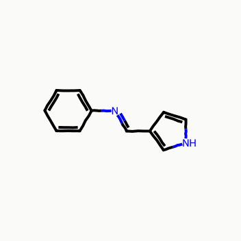 C(=Nc1ccccc1)c1cc[nH]c1